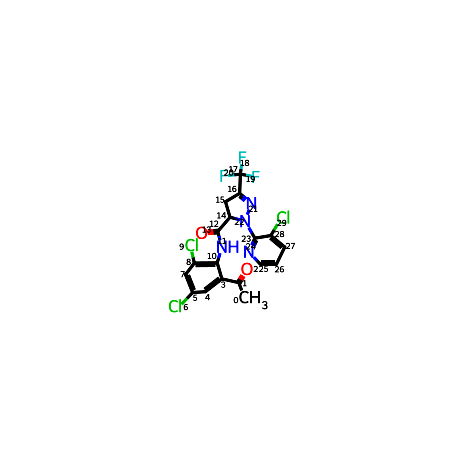 CC(=O)c1cc(Cl)cc(Cl)c1NC(=O)C1CC(C(F)(F)F)=NN1c1ncccc1Cl